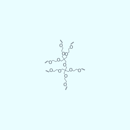 C=COCCOCC(COCCOC=C)(COCCOC=C)COCC(COCCOC=C)(COCCOC=C)COCCOC=C